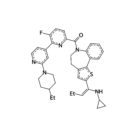 CC/C=C(/NC1CC1)c1cc2c(s1)-c1ccccc1N(C(=O)c1ccc(F)c(-c3ccnc(N4CCC(CC)CC4)c3)n1)CC2